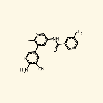 Cc1ncc(NC(=O)c2cccc(C(F)(F)F)c2)cc1-c1cnc(N)c(C#N)c1